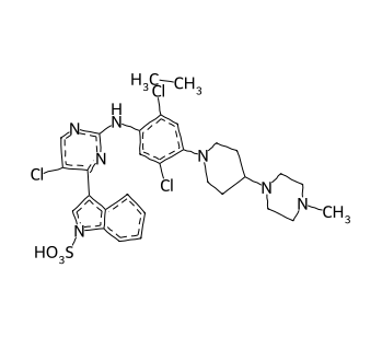 CC.CN1CCN(C2CCN(c3cc(Cl)c(Nc4ncc(Cl)c(-c5cn(S(=O)(=O)O)c6ccccc56)n4)cc3Cl)CC2)CC1